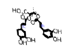 C[C@H](OC(=O)/C=C/c1ccc(O)c(O)c1)[C@@H](OC(=O)/C=C/c1ccc(O)c(O)c1)C(=O)O